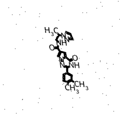 Cc1ccc(-c2nn3cc(C(=O)NCC(C)n4cccn4)cc3c(=O)[nH]2)cc1C